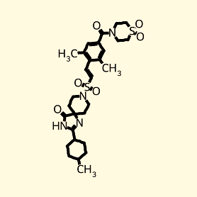 Cc1cc(C(=O)N2CCS(=O)(=O)CC2)cc(C)c1/C=C/S(=O)(=O)N1CCC2(CC1)N=C(C1CCC(C)CC1)NC2=O